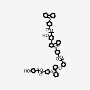 CC(C)(OC(=O)c1ccc(-[s+]2c3ccccc3c3c(Oc4cccc(C(C)(C)OC(=O)c5ccc(-[s+]6c7ccccc7c7c(-c8ccc(C(C)(C)OC(=O)c9ccc(-[s+]%10c%11ccccc%11c%11ccccc%11%10)cc9)c(O)c8)cccc76)cc5)c4)cccc32)cc1)c1ccc(O)cc1